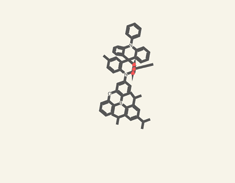 Cc1ccc2c(c1)C1(c3ccccc3N(c3ccccc3)c3ccccc31)c1cc(C)ccc1N2c1ccc2c(c1)Oc1ccccc1B2c1c(C(C)C)cc(C(C)C)cc1C(C)C